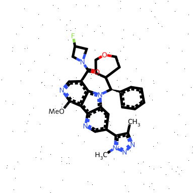 COc1ncc(C(=O)N2CC(F)C2)c2c1c1ncc(-c3c(C)nnn3C)cc1n2[C@H](c1ccccc1)C1CCOCC1